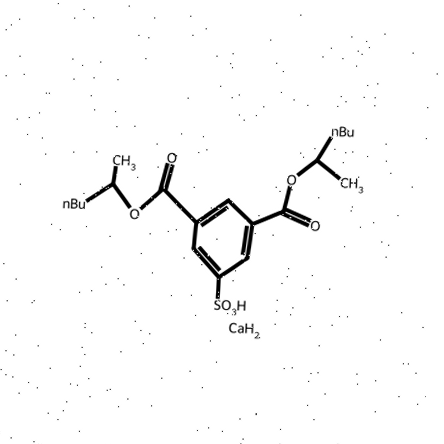 CCCCC(C)OC(=O)c1cc(C(=O)OC(C)CCCC)cc(S(=O)(=O)O)c1.[CaH2]